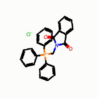 O=C1c2ccccc2C(=O)N1C[P+](c1ccccc1)(c1ccccc1)c1ccccc1.[Cl-]